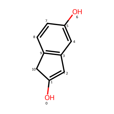 OC1=[C]c2cc(O)ccc2C1